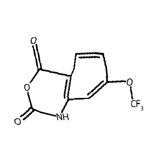 O=c1[nH]c2cc(OC(F)(F)F)ccc2c(=O)o1